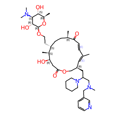 CC1=C\[C@@H](CC(CN(C)Cc2cccnc2)N2CCCCC2)COC(=O)C[C@@H](O)[C@@H](C)[C@H](CCO[C@@H]2O[C@H](C)[C@@H](O)[C@H](N(C)C)[C@H]2O)CC[C@@H](C)C(=O)\C=C\1